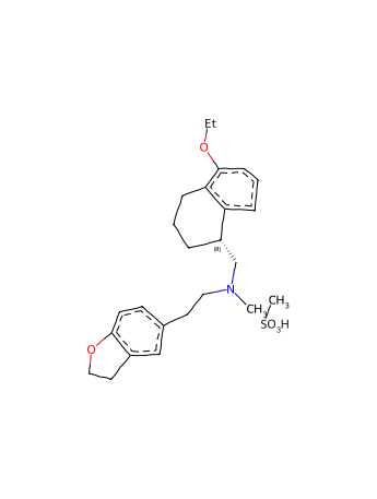 CCOc1cccc2c1CCC[C@H]2CN(C)CCc1ccc2c(c1)CCO2.CS(=O)(=O)O